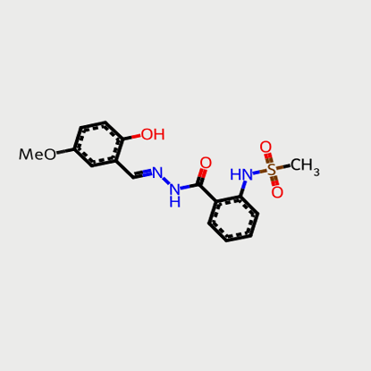 COc1ccc(O)c(/C=N/NC(=O)c2ccccc2NS(C)(=O)=O)c1